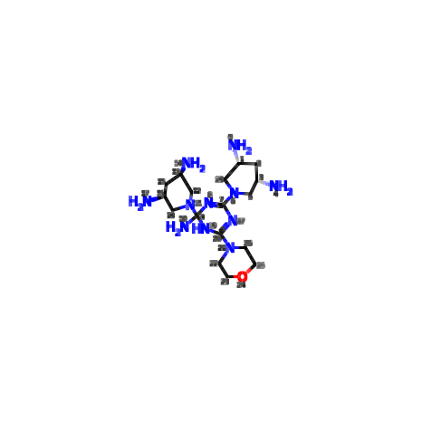 N[C@@H]1C[C@H](N)CN(C2=NC(N)(N3C[C@H](N)C[C@H](N)C3)NC(N3CCOCC3)=N2)C1